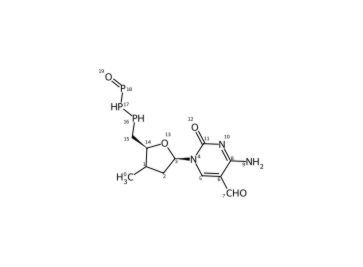 CC1C[C@H](n2cc(C=O)c(N)nc2=O)O[C@@H]1CPPP=O